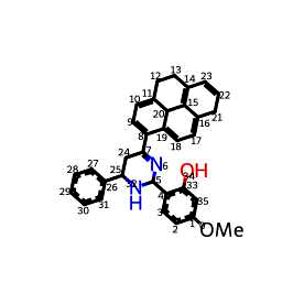 COc1ccc(C2N=C(C3=CC=C4CCC5=C6C(=CC=C3C46)CC=C5)CC(c3ccccc3)N2)c(O)c1